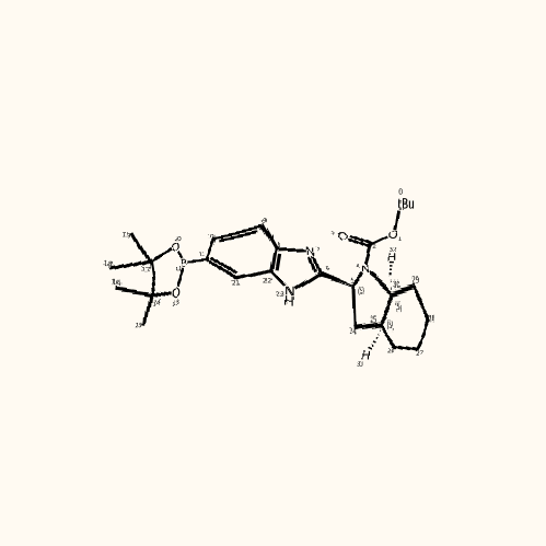 CC(C)(C)OC(=O)N1[C@H](c2nc3ccc(B4OC(C)(C)C(C)(C)O4)cc3[nH]2)C[C@@H]2CCCC[C@@H]21